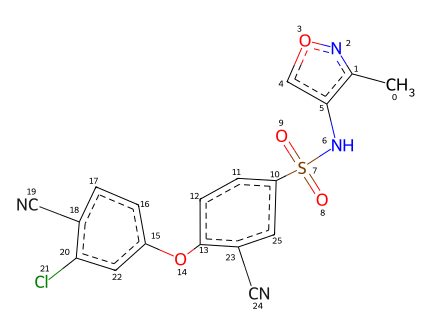 Cc1nocc1NS(=O)(=O)c1ccc(Oc2ccc(C#N)c(Cl)c2)c(C#N)c1